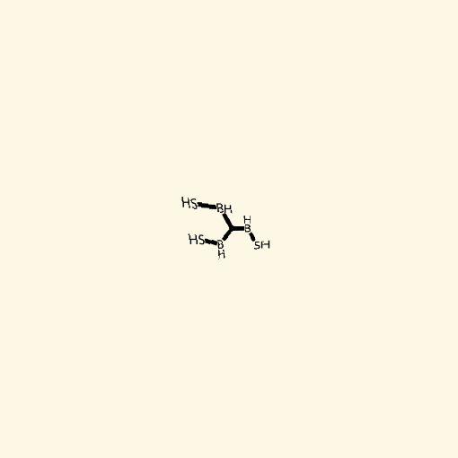 SBC(BS)BS